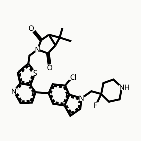 CC1(C)C2C(=O)N(Cc3cc4nccc(-c5cc(Cl)c6c(ccn6CC6(F)CCNCC6)c5)c4s3)C(=O)C21